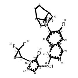 CC1(O)C2CCC1CN(c1cc3nc(Nc4cnn(C5CC5(F)F)c4Cl)ncc3cc1Cl)C2